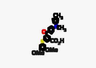 COc1ccc(Sc2cc(C(=O)O)cc(C(=O)c3ccc(N(C)c4ccc(C)cc4)cc3)c2)cc1OC